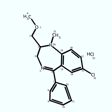 COCC1CN=C(c2ccccc2)c2cc(Cl)ccc2N1C.Cl